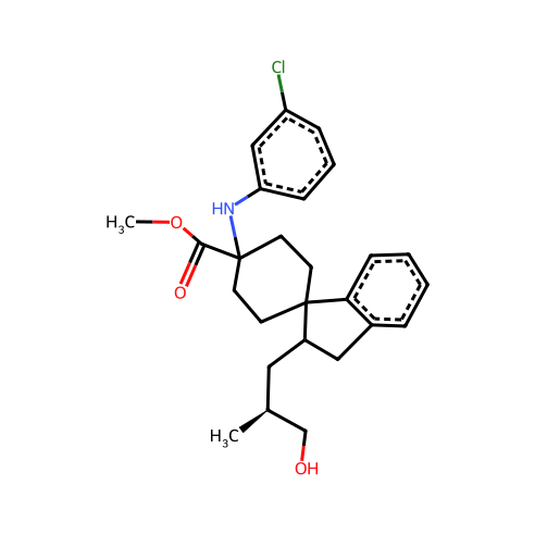 COC(=O)C1(Nc2cccc(Cl)c2)CCC2(CC1)c1ccccc1CC2C[C@H](C)CO